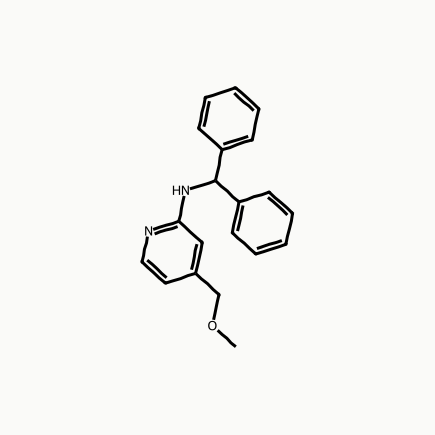 COCc1ccnc(NC(c2ccccc2)c2ccccc2)c1